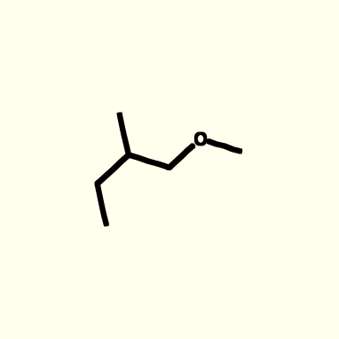 CCC(C)COC